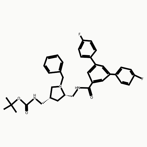 CC(C)(C)OC(=O)NC[C@H]1C[C@@H](CNC(=O)c2cc(-c3ccc(F)cc3)cc(-c3ccc(F)cc3)c2)N(Cc2ccccc2)C1